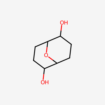 OC1CCC2OC1CCC2O